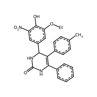 CCOc1cc(C2NC(=O)NC(c3ccccc3)=C2c2ccc(C)cc2)cc([N+](=O)[O-])c1O